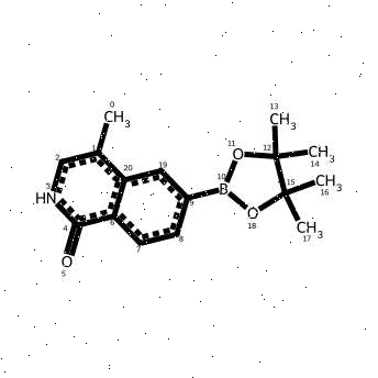 Cc1c[nH]c(=O)c2ccc(B3OC(C)(C)C(C)(C)O3)cc12